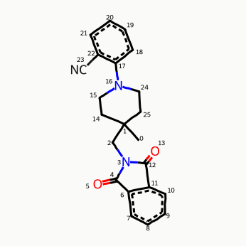 CC1(CN2C(=O)c3ccccc3C2=O)CCN(c2ccccc2C#N)CC1